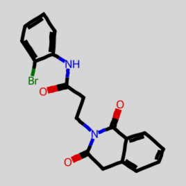 O=C(CCN1C(=O)Cc2ccccc2C1=O)Nc1ccccc1Br